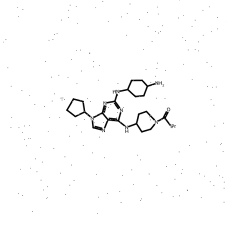 CC(C)C(=O)N1CCC(Nc2nc(NC3CCC(N)CC3)nc3c2ncn3C2CCCC2)CC1